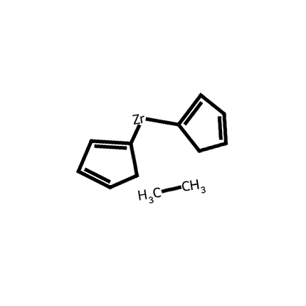 C1=CC[C]([Zr][C]2=CC=CC2)=C1.CC